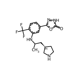 CC(C[C@H]1CCNC1)Nc1cc(-c2n[nH]c(=O)o2)ccc1C(F)(F)F